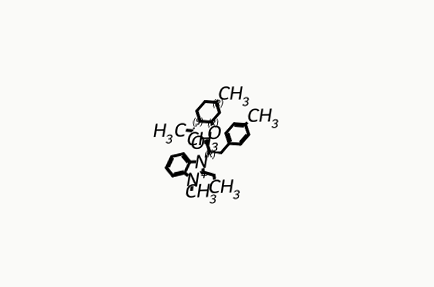 CCc1n([C@H](Cc2ccc(C)cc2)C(=O)O[C@@H]2C[C@H](C)CC[C@H]2C(C)C)c2ccccc2[n+]1C